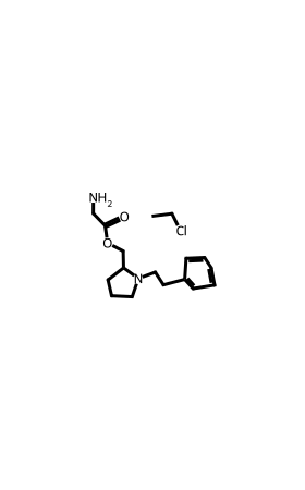 CCCl.NCC(=O)OCC1CCCN1CCc1ccccc1